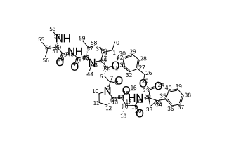 CC[C@H](C)[C@@H]([C@@H](CC(=O)N1CCC[C@H]1[C@H](OC)[C@@H](C)C(=O)N[C@@]1(C(=O)OCc2ccccc2)C[C@@H]1c1ccccc1)OC)N(C)[C@H](C(=O)NC(=O)[C@@H](NC)C(C)C)C(C)C